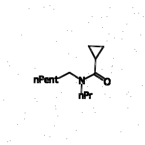 CCCCCCN(CCC)C(=O)C1CC1